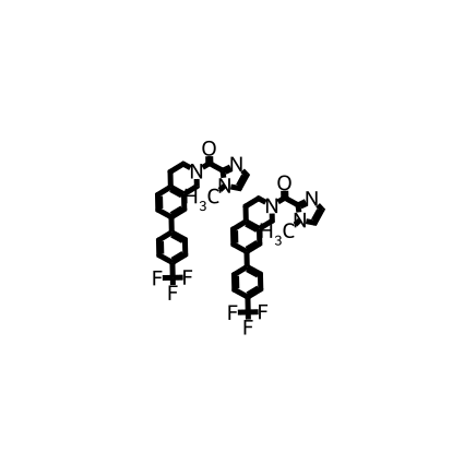 Cn1ccnc1C(=O)N1CCc2ccc(-c3ccc(C(F)(F)F)cc3)cc2C1.Cn1ccnc1C(=O)N1CCc2ccc(-c3ccc(C(F)(F)F)cc3)cc2C1